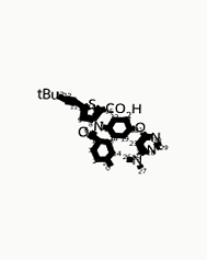 CC1CCC(C(=O)N(c2cc(C#CC(C)(C)C)sc2C(=O)O)C2CCC(Oc3cc(N(C)C)ncn3)CC2)CC1